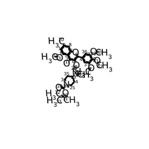 COc1cc(-c2oc3cc(C)cc(OC)c3c(=O)c2OCN(C)C2CCN(C(=O)OC(C)(C)C)CC2)cc(OC)c1OC